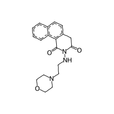 O=C1Cc2ccc3ccccc3c2C(=O)N1NCCN1CCOCC1